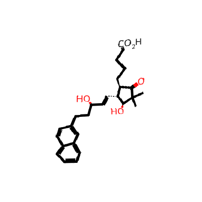 CC1(C)C(=O)[C@H](CCCCC(=O)O)[C@@H](/C=C/C(O)CCc2ccc3ccccc3c2)[C@@H]1O